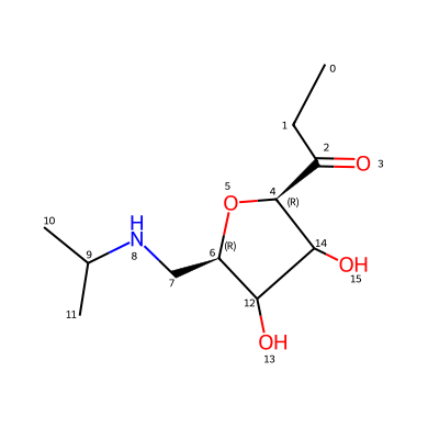 CCC(=O)[C@@H]1O[C@H](CNC(C)C)C(O)C1O